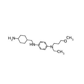 CCN(CCCOC)c1ccc(NCC2CCC(N)CC2)cc1